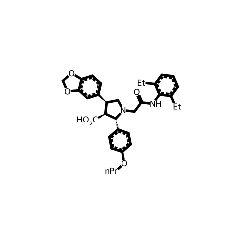 CCCOc1ccc([C@@H]2[C@@H](C(=O)O)[C@@H](c3ccc4c(c3)OCO4)CN2CC(=O)Nc2c(CC)cccc2CC)cc1